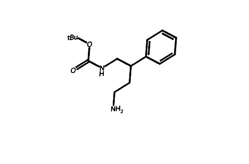 CC(C)(C)OC(=O)NCC(CCN)c1ccccc1